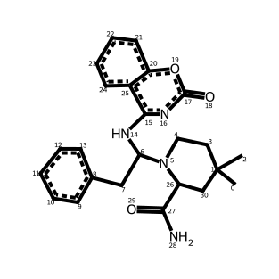 CC1(C)CCN(C(Cc2ccccc2)Nc2nc(=O)oc3ccccc23)C(C(N)=O)C1